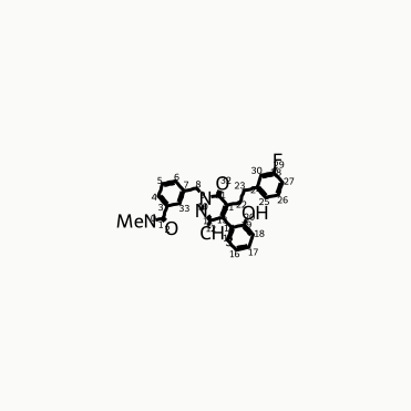 CNC(=O)c1cccc(Cn2nc(C)c(-c3ccccc3O)c(CCc3cccc(F)c3)c2=O)c1